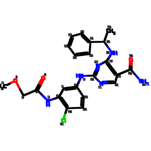 COCC(=O)Nc1cc(Nc2ncc(C(N)=O)c(NC(C)c3ccccc3)n2)ccc1Cl